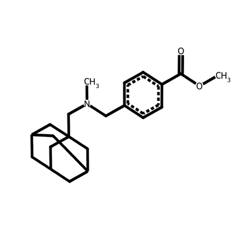 COC(=O)c1ccc(CN(C)CC23CC4CC(CC(C4)C2)C3)cc1